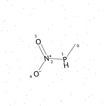 CP[N+](=O)[O-]